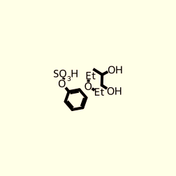 CC(O)CO.CCOCC.O=S(=O)(O)Oc1ccccc1